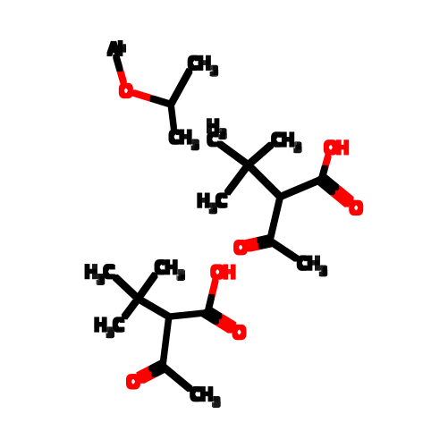 CC(=O)C(C(=O)O)C(C)(C)C.CC(=O)C(C(=O)O)C(C)(C)C.CC(C)[O][Al]